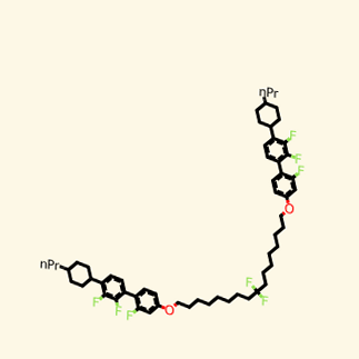 CCCC1CCC(c2ccc(-c3ccc(OCCCCCCCCC(F)(F)CCCCCCCCOc4ccc(-c5ccc(C6CCC(CCC)CC6)c(F)c5F)c(F)c4)cc3F)c(F)c2F)CC1